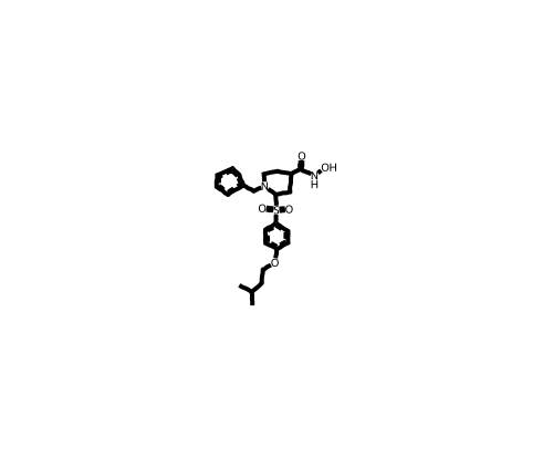 CC(C)CCOc1ccc(S(=O)(=O)C2CC(C(=O)NO)CCN2Cc2ccccc2)cc1